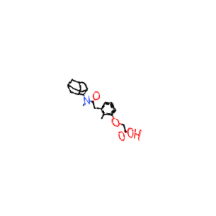 Cc1c(CC(=O)N(C)C2C3CC4CC(C3)CC2C4)cccc1OCC(=O)O